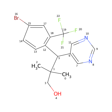 CC(C)(CO)C(c1cncnc1)c1ccc(Br)cc1C(F)(F)F